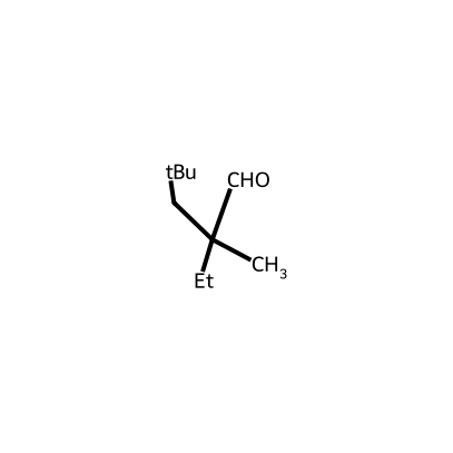 CCC(C)(C=O)CC(C)(C)C